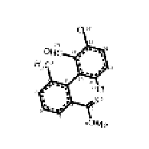 COC(=S)c1cccc(C)c1-c1c(Cl)ccc(Cl)c1C=O